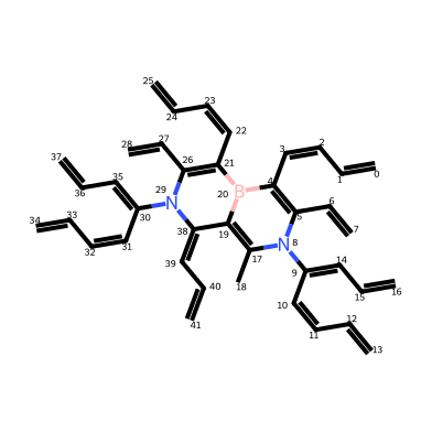 C=C/C=C\C1=C(C=C)N(C(/C=C\C=C)=C/C=C)C(C)=C2B1C(/C=C\C=C)=C(C=C)N(C(/C=C\C=C)=C/C=C)/C2=C/C=C